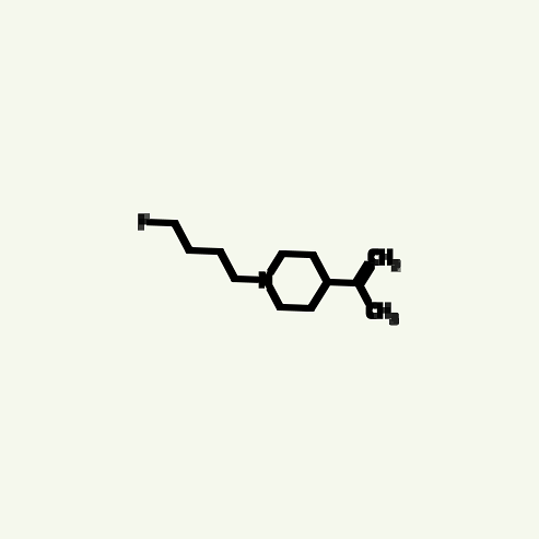 C=C(C)C1CCN(CCCCF)CC1